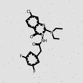 CCN(CC)c1nc2cc(Cl)ccc2c(=O)n1NC(=O)Cc1cc(F)cc(F)c1